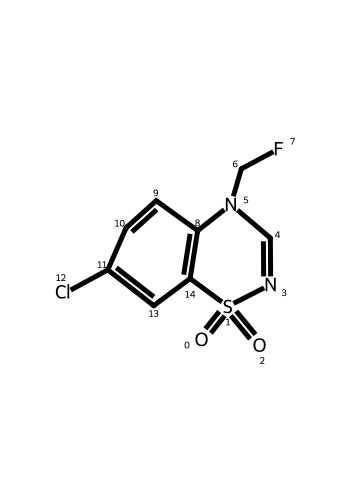 O=S1(=O)N=CN(CF)c2ccc(Cl)cc21